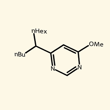 CCCCCCC(CCCC)c1cc(OC)ncn1